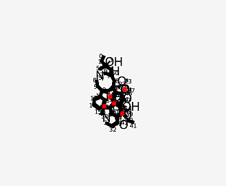 CC[C@]1(O)C[C@@H]2C[N@@](CCc3c([nH]c4ccccc34)[C@@](C(=O)OC)(c3cc(C45CCN6CC=C[C@](CC)([C@H]64)[C@@H](OC(C)=O)[C@](O)(C(=O)OC)C5)c(N(C)C)cc3OC)C2)C1